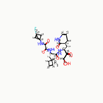 CC1(C[C@H](NC(=O)C(=O)NC23CC(F)(C2)C3)C(=O)N[C@@H](C[C@@H]2CCCNC2=O)C(=O)CO)CCC1